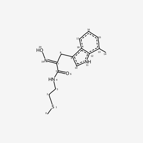 CSCCNC(=O)/C(Cc1c[nH]c2c(C)cccc12)=N/O